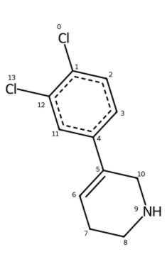 Clc1ccc(C2=CCCNC2)cc1Cl